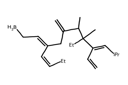 BC/C=C(\C=C/CC)CC(=C)C(C)C(C)(CC)/C(C=C)=C/C(C)C